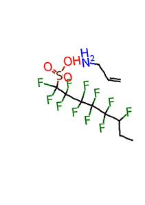 C=CCN.CCC(F)C(F)(F)C(F)(F)C(F)(F)C(F)(F)C(F)(F)S(=O)(=O)O